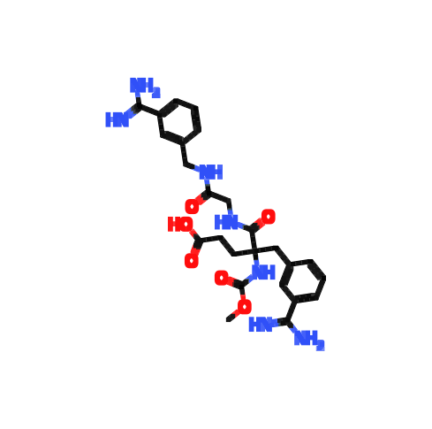 COC(=O)NC(CCC(=O)O)(Cc1cccc(C(=N)N)c1)C(=O)NCC(=O)NCc1cccc(C(=N)N)c1